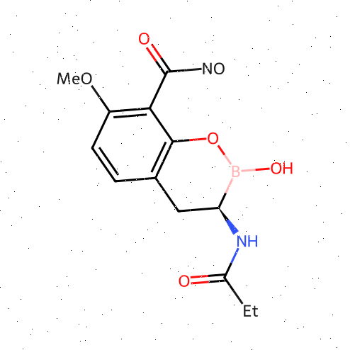 CCC(=O)N[C@H]1Cc2ccc(OC)c(C(=O)N=O)c2OB1O